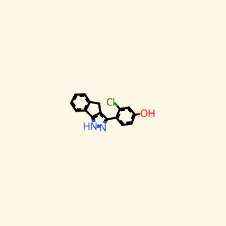 Oc1ccc(-c2n[nH]c3c2Cc2ccccc2-3)c(Cl)c1